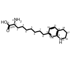 N[C@@H](CCCCCCCc1ccc2c(n1)NCCC2)C(=O)O